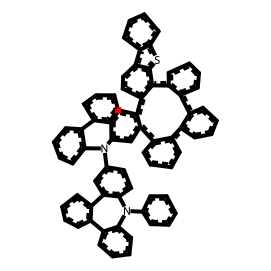 c1ccc(-c2ccccc2N(c2ccc3c(c2)-c2ccccc2-c2ccccc2N3c2ccccc2)c2ccc3c(c2)c2ccccc2c2ccccc2c2ccccc2c2c3ccc3c4ccccc4sc32)cc1